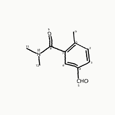 Cc1ccc(C=O)cc1C(=O)N(C)C